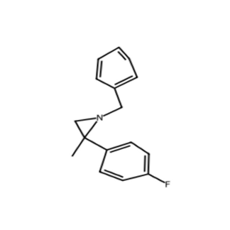 CC1(c2ccc(F)cc2)CN1Cc1ccccc1